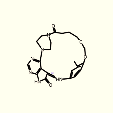 Cc1cc2ccc1OCCCCCC(=O)N1CCN(CC1)c1ncnc3c1/C(=C/N2)C(=O)N3